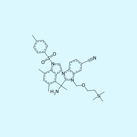 Cc1ccc(S(=O)(=O)n2ccc3c(C(C)(N)c4nc5ccc(C#N)cc5n4COCC[Si](C)(C)C)c(C)cc(C)c32)cc1